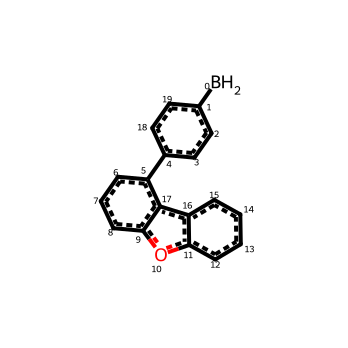 Bc1ccc(-c2cccc3oc4ccccc4c23)cc1